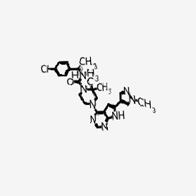 C[C@H](NC(=O)N1CCN(c2ncnc3[nH]c(-c4cnn(C)c4)cc23)CC1(C)C)c1ccc(Cl)cc1